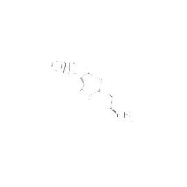 C=CC[C@H]1CC[C@H](C=O)CC1